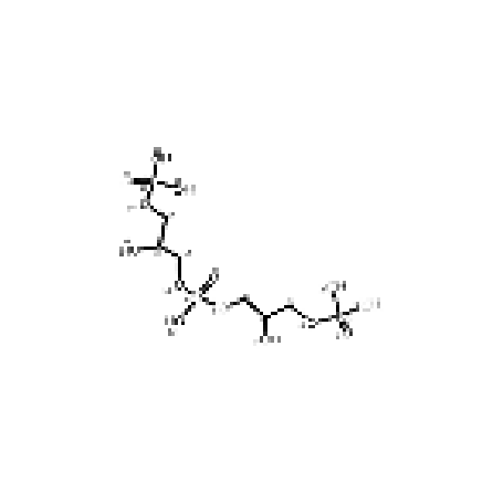 O=P(O)(O)OCC(O)COP(=O)(O)OCC(O)COP(=O)(O)O